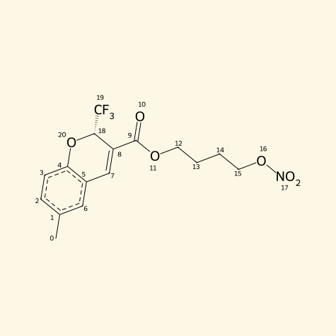 Cc1ccc2c(c1)C=C(C(=O)OCCCCO[N+](=O)[O-])[C@@H](C(F)(F)F)O2